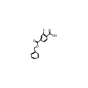 O=C(OCc1ccccc1)c1ccc(C(=O)O)c(F)c1